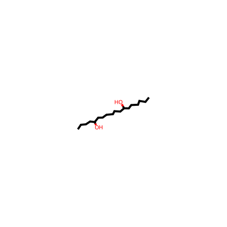 CCCCCCC(O)CCCCCCC(O)CCCC